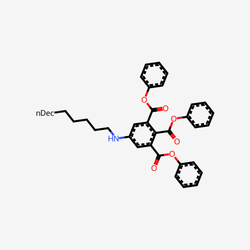 CCCCCCCCCCCCCCCNc1cc(C(=O)Oc2ccccc2)c(C(=O)Oc2ccccc2)c(C(=O)Oc2ccccc2)c1